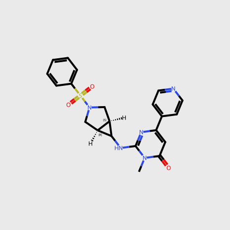 Cn1c(NC2[C@H]3CN(S(=O)(=O)c4ccccc4)C[C@@H]23)nc(-c2ccncc2)cc1=O